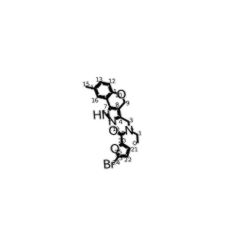 CCN(Cc1n[nH]c2c1COc1ccc(C)cc1-2)C(=O)c1ccc(Br)o1